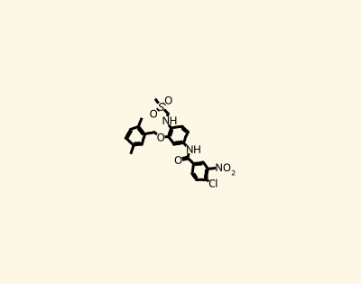 Cc1ccc(C)c(COc2cc(NC(=O)c3ccc(Cl)c([N+](=O)[O-])c3)ccc2NCS(C)(=O)=O)c1